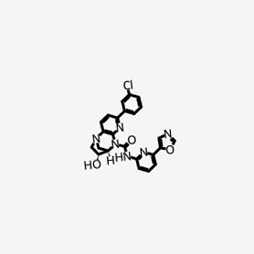 O=C(Nc1cccc(-c2cnco2)n1)N1c2nc(-c3cccc(Cl)c3)ccc2N2C[C@@H](O)[C@H]1C2